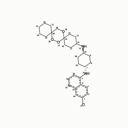 Clc1ccc2c(N[C@H]3CC[C@H](NC4CCC5(CC4)OCC4(CCCCC4)OO5)CC3)ccnc2c1